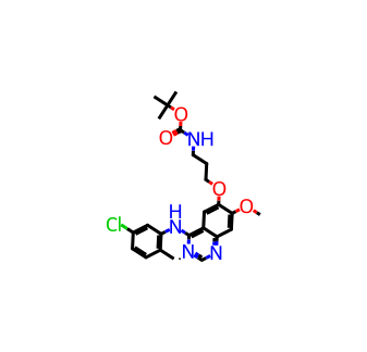 [CH2]c1ccc(Cl)cc1Nc1ncnc2cc(OC)c(OCCCNC(=O)OC(C)(C)C)cc12